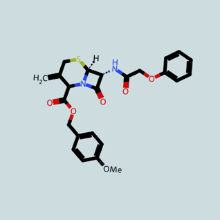 C=C1CS[C@H]2[C@H](NC(=O)COc3ccccc3)C(=O)N2C1C(=O)OCc1ccc(OC)cc1